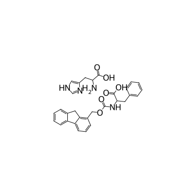 NC(Cc1c[nH]cn1)C(=O)O.O=C(NC(Cc1ccccc1)C(=O)O)OCc1cccc2c1Cc1ccccc1-2